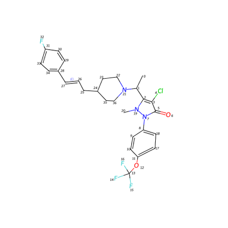 CC(c1c(Cl)c(=O)n(-c2ccc(OC(F)(F)F)cc2)n1C)N1CCC(C/C=C/c2ccc(F)cc2)CC1